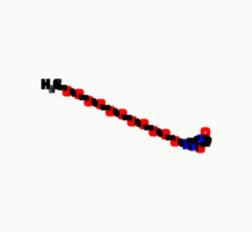 CCCOCCOCCOCCOCCOCCOCCOCCOCCOCCOCCOCCn1cnc(CN2C(=O)C=CC2=O)c1